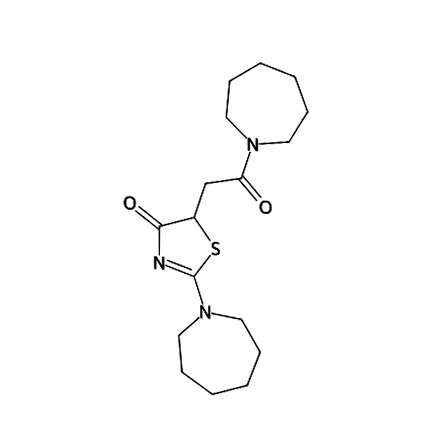 O=C1N=C(N2CCCCCC2)SC1CC(=O)N1CCCCCC1